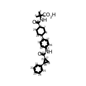 CC(C)(NC(=O)[C@H]1CC[C@@H](c2ccc(NC(=O)[C@H]3C[C@H]3c3ccccc3)cc2)CC1)C(=O)O